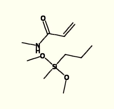 C=CC(=O)NC.CCC[Si](C)(OC)OC